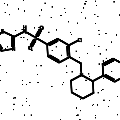 O=S(=O)(Nc1ncns1)c1ccc(CN2CCCCC2c2ccccc2)c(Cl)c1